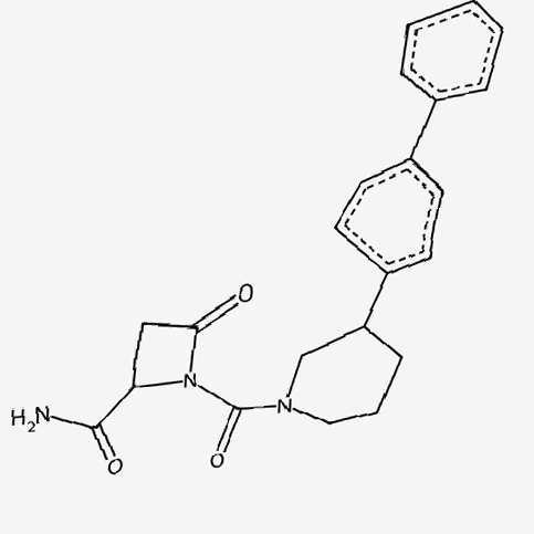 NC(=O)C1CC(=O)N1C(=O)N1CCCC(c2ccc(-c3ccccc3)cc2)C1